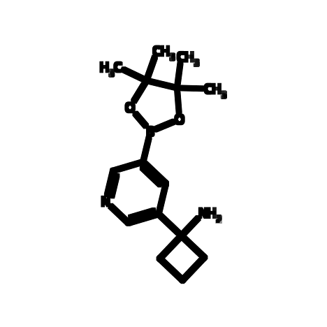 CC1(C)OB(c2cncc(C3(N)CCC3)c2)OC1(C)C